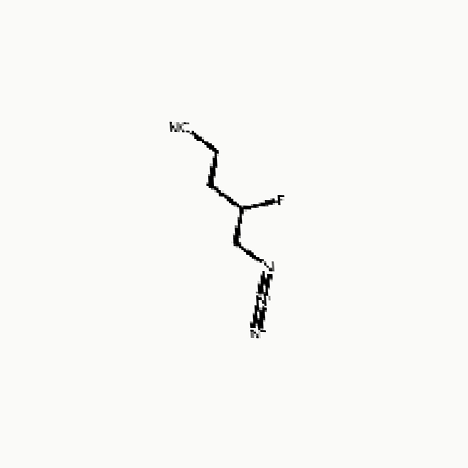 N#CCCC(F)CN=[N+]=[N-]